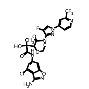 CC(O)(C(=O)Nc1cc(Cl)c2c(N)noc2c1)C1OCCN(c2nn(-c3ccnc(C(F)(F)F)c3)cc2F)C1=O